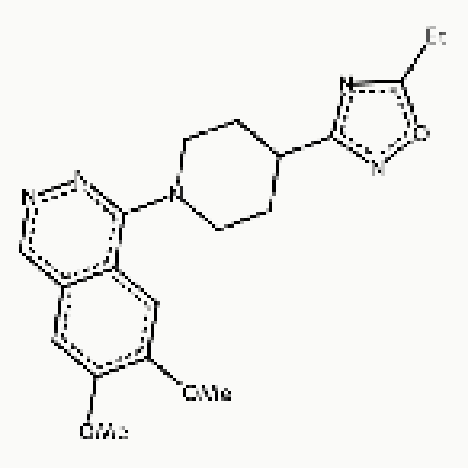 CCc1nc(C2CCN(c3nncc4cc(OC)c(OC)cc34)CC2)no1